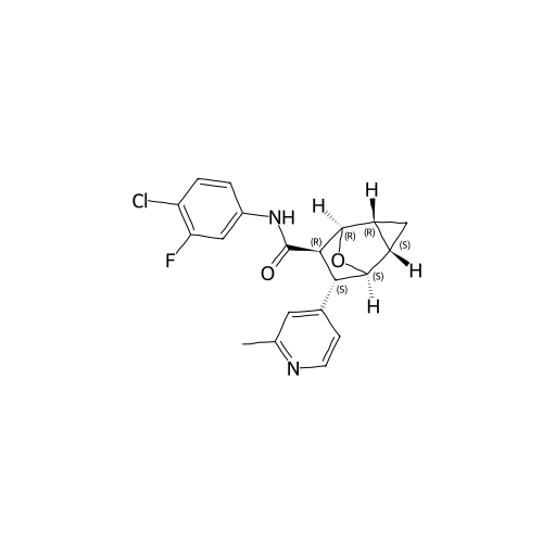 Cc1cc([C@H]2[C@H]3O[C@H]([C@@H]4C[C@@H]43)[C@@H]2C(=O)Nc2ccc(Cl)c(F)c2)ccn1